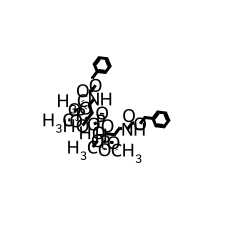 COP(=O)(OC)C(O)(CCNC(=O)OCc1ccccc1)O[PH](=O)OC(O)(CCNC(=O)OCc1ccccc1)P(=O)(OC)OC